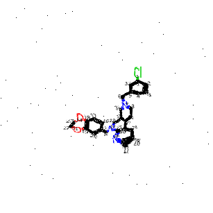 Clc1cccc(CN2CC=C3C(=CN(Cc4ccc5c(c4)OCCO5)c4ncccc43)C2)c1